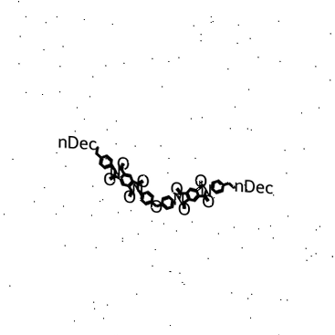 CCCCCCCCCCCCc1ccc(-n2c(=O)c3cc4c(=O)n(-c5ccc(Oc6ccc(-n7c(=O)c8cc9c(=O)n(-c%10ccc(CCCCCCCCCCCC)cc%10)c(=O)c9cc8c7=O)cc6)cc5)c(=O)c4cc3c2=O)cc1